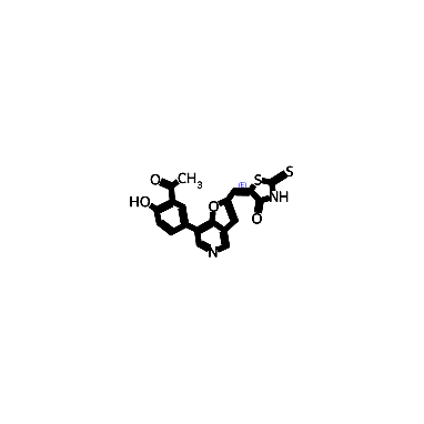 CC(=O)c1cc(-c2cncc3cc(/C=C4/SC(=S)NC4=O)oc23)ccc1O